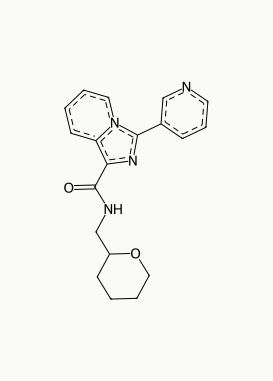 O=C(NCC1CCCCO1)c1nc(-c2cccnc2)n2ccccc12